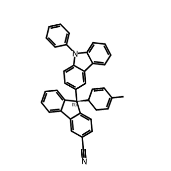 CC1=CCC([C@]2(c3ccc4c(c3)c3ccccc3n4-c3ccccc3)c3ccccc3-c3cc(C#N)ccc32)C=C1